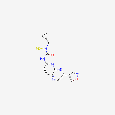 O=C(Nc1ccc2ncc(-c3cnoc3)nc2n1)N(S)CC1CC1